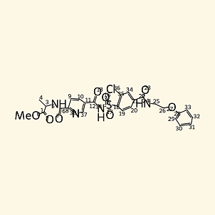 COC(=O)C(C)NC(=O)c1ccc(C(=O)NS(=O)(=O)c2ccc(C(=O)NCCOc3ccccc3)cc2Cl)cn1